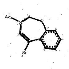 CC(=O)N1C=C(Br)c2ccccc2CC1